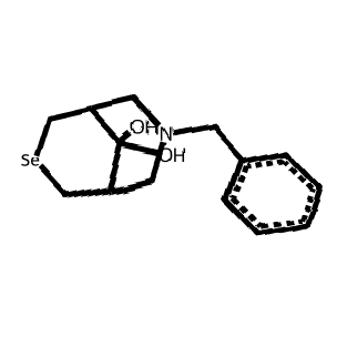 OC1(O)C2C[Se]CC1CN(Cc1ccccc1)C2